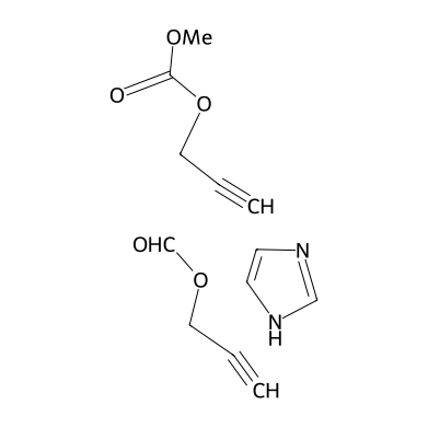 C#CCOC(=O)OC.C#CCOC=O.c1c[nH]cn1